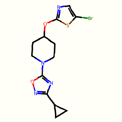 Brc1cnc(OC2CCN(c3nc(C4CC4)no3)CC2)s1